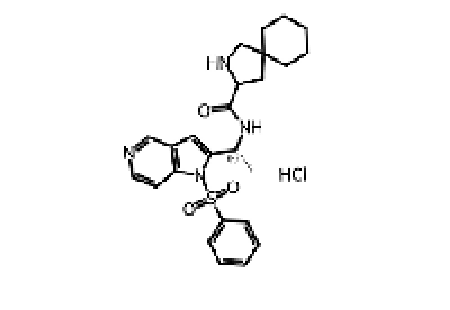 C[C@@H](NC(=O)C1CC2(CCCCC2)CN1)c1cc2cnccc2n1S(=O)(=O)c1ccccc1.Cl